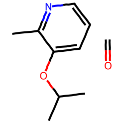 C=O.Cc1ncccc1OC(C)C